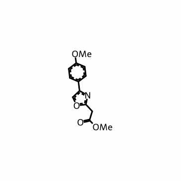 COC(=O)Cc1nc(-c2ccc(OC)cc2)co1